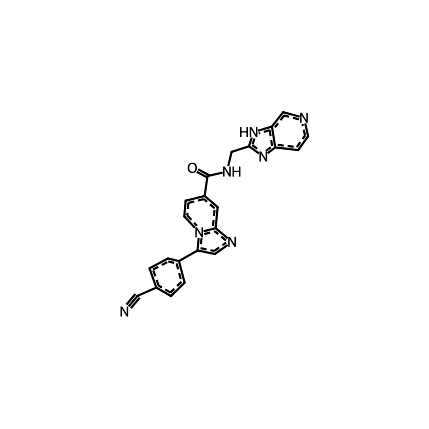 N#Cc1ccc(-c2cnc3cc(C(=O)NCc4nc5ccncc5[nH]4)ccn23)cc1